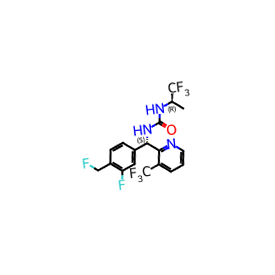 C[C@@H](NC(=O)N[C@@H](c1ccc(CF)c(F)c1)c1ncccc1C(F)(F)F)C(F)(F)F